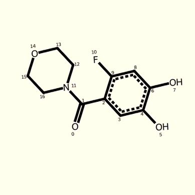 O=C(c1cc(O)c(O)cc1F)N1CCOCC1